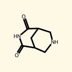 O=C1NC(=O)C2CNCC1C2